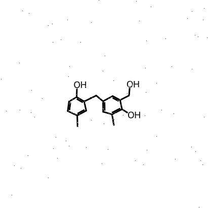 Cc1ccc(O)c(Cc2cc(C)c(O)c(CO)c2)c1